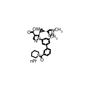 CCC[C@@H]1CCCCN1C(=O)c1cccc(-c2cc(C)cc(-n3ncc(C(=O)OC)c3[C@H]3C[C@@H]3c3cn(C)nn3)c2)c1